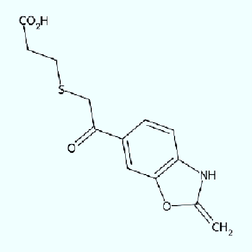 C=C1Nc2ccc(C(=O)CSCCC(=O)O)cc2O1